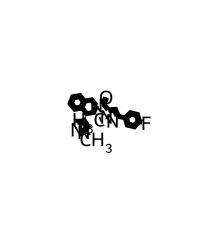 Cn1cc([C@H]2CN(C(=O)c3cc(-c4ccc(F)cc4)nn3C)Cc3ccccc32)cn1